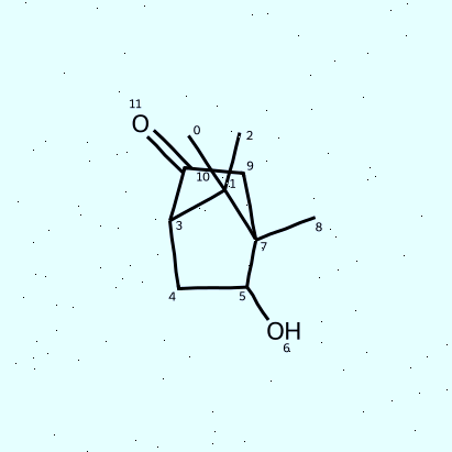 CC1(C)C2CC(O)C1(C)CC2=O